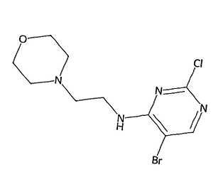 Clc1ncc(Br)c(NCCN2CCOCC2)n1